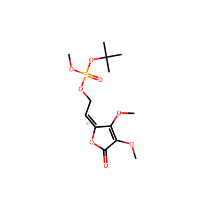 COC1=C(OC)/C(=C\COP(=O)(OC)OC(C)(C)C)OC1=O